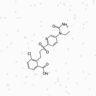 CCN(C(N)=O)c1ccc(S(=O)(=O)CCc2c(Cl)cccc2C(=O)O)nc1